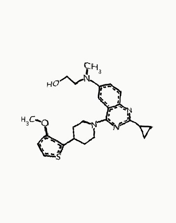 COc1ccsc1C1CCN(c2nc(C3CC3)nc3ccc(N(C)CCO)cc23)CC1